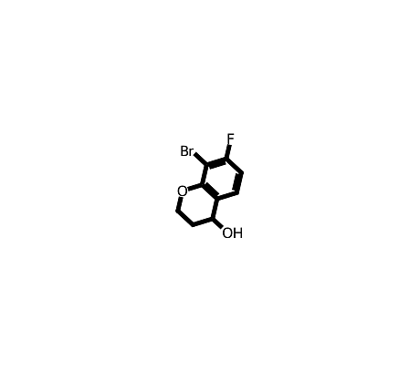 OC1CCOc2c1ccc(F)c2Br